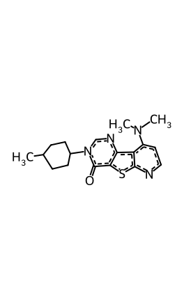 CC1CCC(n2cnc3c(sc4nccc(N(C)C)c43)c2=O)CC1